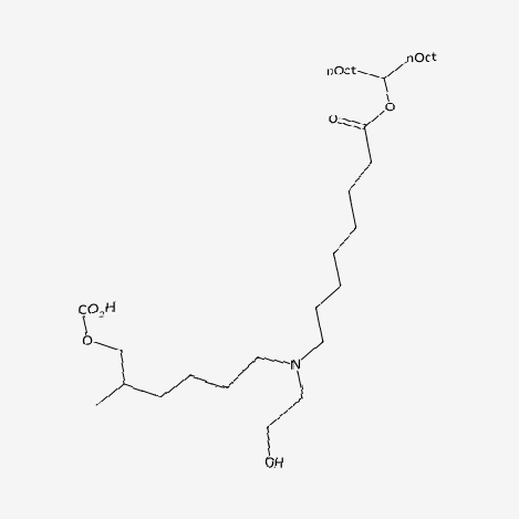 CCCCCCCCC(CCCCCCCC)OC(=O)CCCCCCCN(CCO)CCCCC(C)COC(=O)O